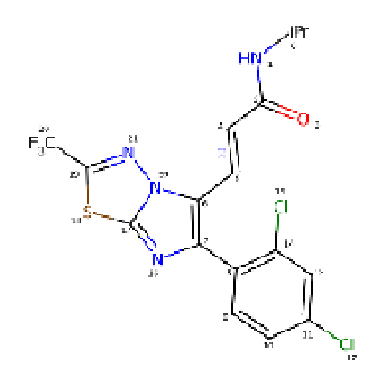 CC(C)NC(=O)/C=C/c1c(-c2ccc(Cl)cc2Cl)nc2sc(C(F)(F)F)nn12